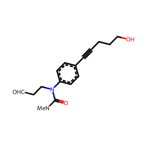 CNC(=O)N(CCC=O)c1ccc(C#CCCCO)cc1